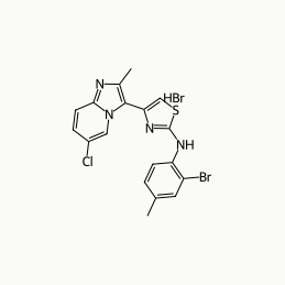 Br.Cc1ccc(Nc2nc(-c3c(C)nc4ccc(Cl)cn34)cs2)c(Br)c1